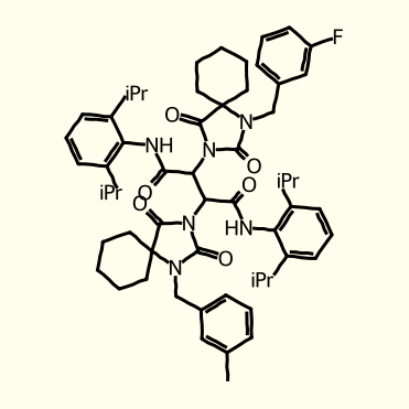 Cc1cccc(CN2C(=O)N(C(C(=O)Nc3c(C(C)C)cccc3C(C)C)C(C(=O)Nc3c(C(C)C)cccc3C(C)C)N3C(=O)N(Cc4cccc(F)c4)C4(CCCCC4)C3=O)C(=O)C23CCCCC3)c1